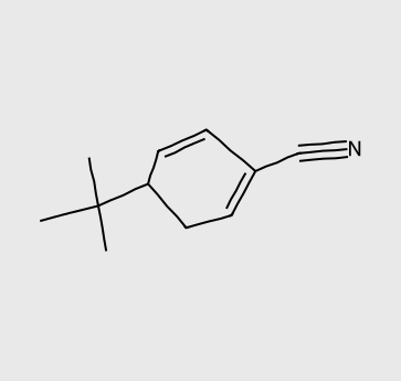 CC(C)(C)C1C=CC(C#N)=CC1